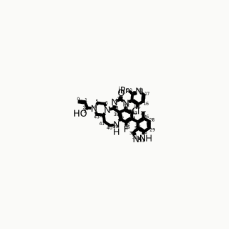 C=CC(O)N1CCN2c3nc(=O)n(-c4c(C)ccnc4C(C)C)c4c(Cl)c(-c5c(C)ccc6[nH]ncc56)c(F)c(c34)NCCC2C1